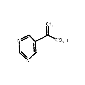 C=C(C(=O)O)c1cncnc1